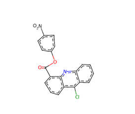 O=C(Oc1ccc([N+](=O)[O-])cc1)c1cccc2c(Cl)c3ccccc3nc12